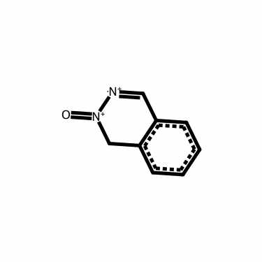 O=[N+]1Cc2ccccc2C=[N+]1